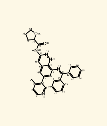 Cc1ccncc1-c1cc(N=C(c2ccccc2)c2ccccc2)c2nnc(NC(=O)C3CCCO3)cc2c1